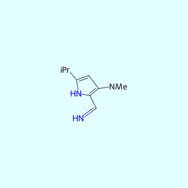 CNc1cc(C(C)C)[nH]c1C=N